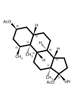 CCC[C@]1(OC(C)=O)CC[C@H]2[C@@H]3CC[C@H]4C[C@H](OC(C)=O)C[C@H](C)[C@]4(C)[C@H]3CC[C@@]21C